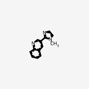 Cn1ccnc1-c1cnc2ccccc2c1